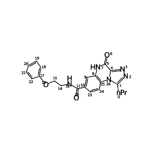 CCCc1nnc2c(=O)[nH]c3cc(C(=O)NCCOc4ccccc4)ccc3n12